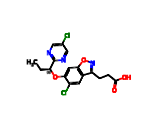 CC[C@H](Oc1cc2onc(CCC(=O)O)c2cc1Cl)c1ncc(Cl)cn1